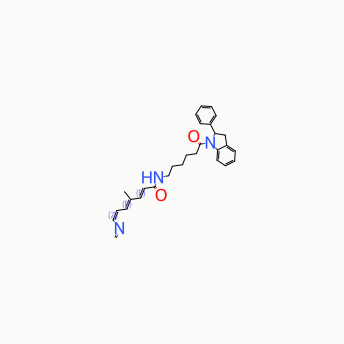 C=N\C=C/C=C(C)/C=C/C(=O)NCCCCCC(=O)N1c2ccccc2CC1c1ccccc1